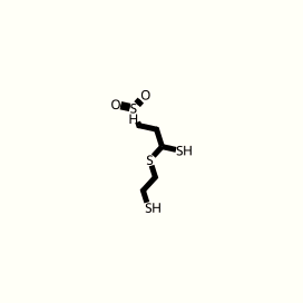 O=[SH](=O)CCC(S)SCCS